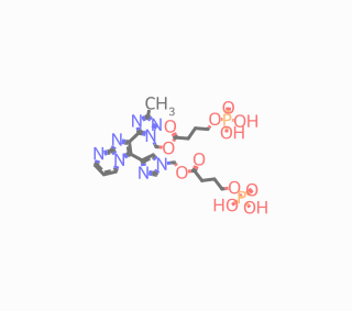 Cc1nc(-c2nc3ncccn3c2-c2cn(COC(=O)CCCOP(=O)(O)O)cn2)n(COC(=O)CCCOP(=O)(O)O)n1